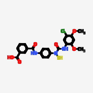 COc1cc(OC)c(NC(=O)N(S)c2ccc(NC(=O)c3cccc(C(=O)O)c3)cc2)cc1Cl